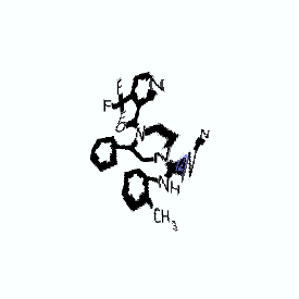 Cc1ccccc1N/C(=N/C#N)N1CCN(C(=O)c2cnccc2C(F)(F)F)C(c2ccccc2)C1